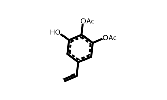 C=Cc1cc(O)c(OC(C)=O)c(OC(C)=O)c1